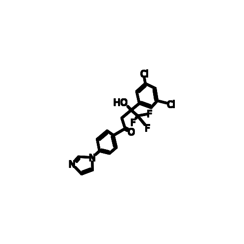 O=C(CC(O)(c1cc(Cl)cc(Cl)c1)C(F)(F)F)c1ccc(-n2ccnc2)cc1